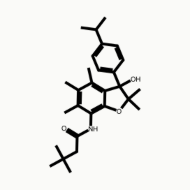 Cc1c(C)c(NC(=O)CC(C)(C)C)c2c(c1C)C(O)(c1ccc(C(C)C)cc1)C(C)(C)O2